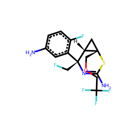 NC1=N[C@](CF)(c2cc(N)ccc2F)[C@@H]2C[C@]2(COCC(F)(F)F)S1